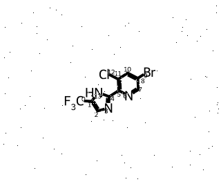 FC(F)(F)c1cnc(-c2ncc(Br)cc2Cl)[nH]1